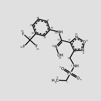 CCS(=O)(=O)NCc1nonc1C(=NO)Nc1cccc(C(F)(F)F)c1